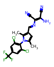 Cc1cc(C=NC(C#N)=C(N)C#N)c(C)n1-c1c(Cl)cc(C(F)(F)F)cc1Cl